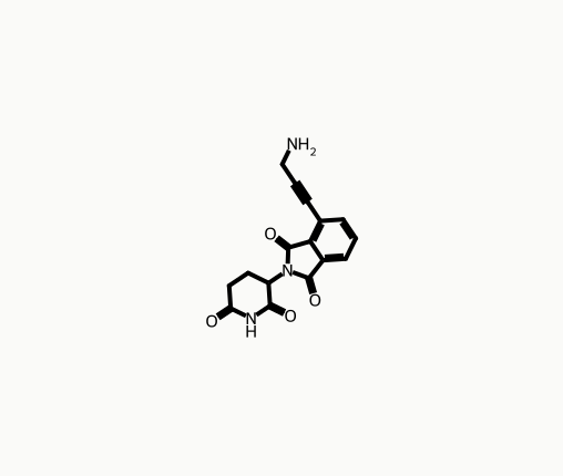 NCC#Cc1cccc2c1C(=O)N(C1CCC(=O)NC1=O)C2=O